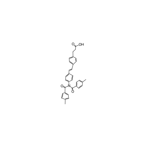 Cc1ccc(C(=O)N(C(=O)c2ccc(C)cc2)c2ccc(C=Cc3ccc(CCC(=O)O)cc3)cc2)cc1